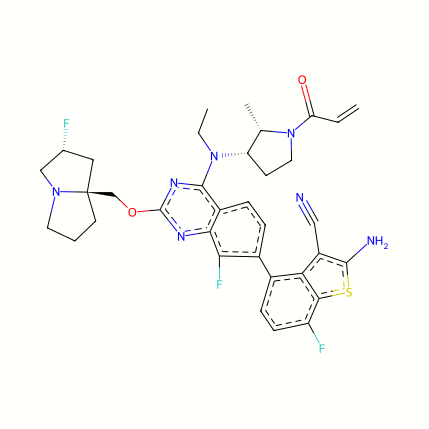 C=CC(=O)N1CC[C@H](N(CC)c2nc(OC[C@@]34CCCN3C[C@H](F)C4)nc3c(F)c(-c4ccc(F)c5sc(N)c(C#N)c45)ccc23)[C@@H]1C